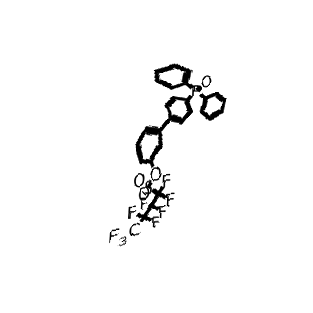 O=P(c1ccccc1)(c1ccccc1)c1ccc(-c2cccc(OS(=O)(=O)C(F)(F)C(F)(F)C(F)(F)C(F)(F)F)c2)cc1